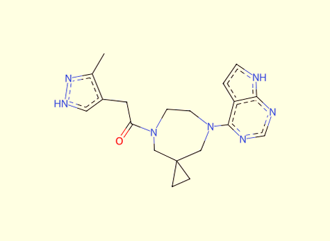 Cc1n[nH]cc1CC(=O)N1CCN(c2ncnc3[nH]ccc23)CC2(CC2)C1